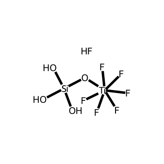 F.O[Si](O)(O)[O][Ti]([F])([F])([F])([F])([F])[F]